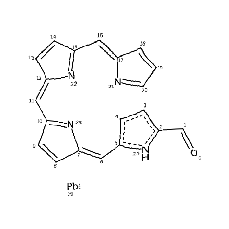 O=Cc1ccc(C=C2C=CC(C=C3C=CC(C=C4C=CC=N4)=N3)=N2)[nH]1.[Pb]